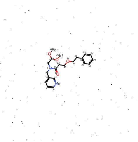 CCOC(CN(Cc1cccnc1)C(=O)CCOCCc1ccccc1)OCC